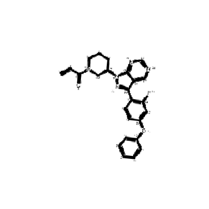 C=CC(=O)N1CCCC(n2nc(-c3ccc(Oc4ccccc4)cc3F)c3cncnc32)C1